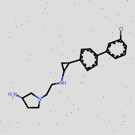 N[C@@H]1CCN(CCNC2CC2c2ccc(-c3cccc(Cl)c3)cc2)C1